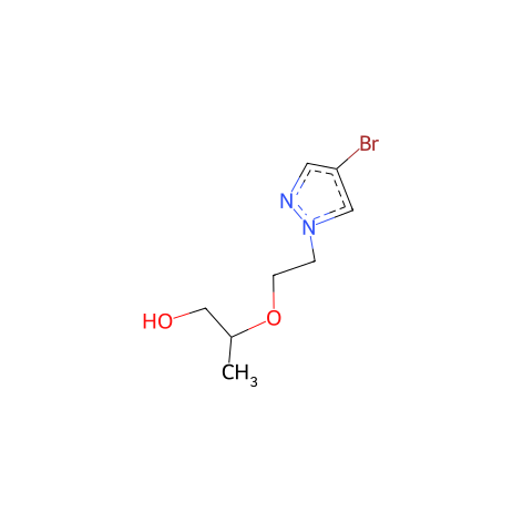 CC(CO)OCCn1cc(Br)cn1